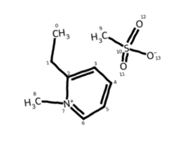 CCc1cccc[n+]1C.CS(=O)(=O)[O-]